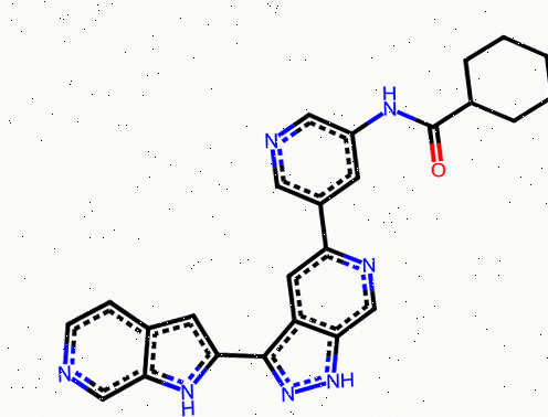 O=C(Nc1cncc(-c2cc3c(-c4cc5ccncc5[nH]4)n[nH]c3cn2)c1)C1CCCCC1